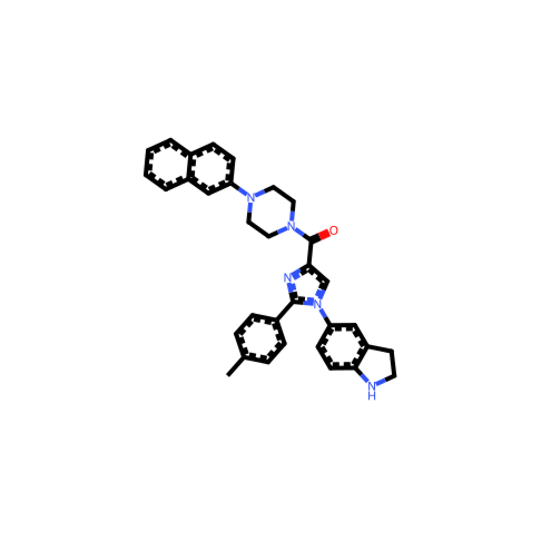 Cc1ccc(-c2nc(C(=O)N3CCN(c4ccc5ccccc5c4)CC3)cn2-c2ccc3c(c2)CCN3)cc1